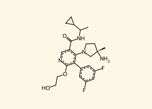 CC(NC(=O)c1cnc(OCCO)c(-c2cc(F)cc(F)c2)c1N1CC[C@](C)(N)C1)C1CC1